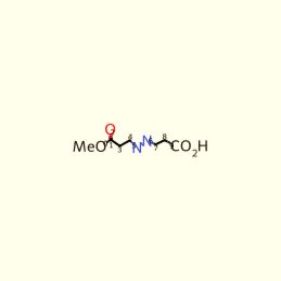 COC(=O)CCN=NCCC(=O)O